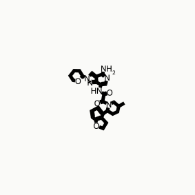 CC1CCC(c2cccc3c2CCO3)N(C(=O)C(=O)Nc2cnc(N)c3cn(C4CCCCO4)nc23)C1